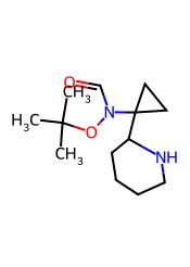 CC(C)(C)ON(C=O)C1(C2CCCCN2)CC1